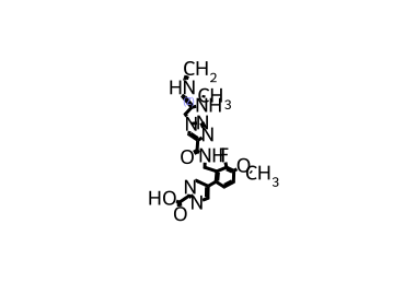 C=CN/C=C(/Cn1cc(C(=O)NCc2c(-c3cnc(C(=O)O)nc3)ccc(OC)c2F)nn1)NC